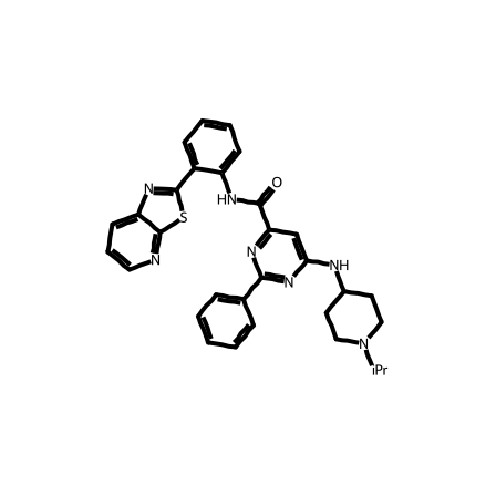 CC(C)N1CCC(Nc2cc(C(=O)Nc3ccccc3-c3nc4cccnc4s3)nc(-c3ccccc3)n2)CC1